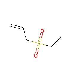 C=CCS(=O)(=O)CC